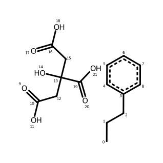 CCCc1ccccc1.O=C(O)CC(O)(CC(=O)O)C(=O)O